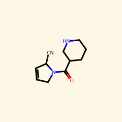 N#CC1C=CCN1C(=O)C1CCCNC1